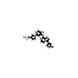 Cn1cc(-c2cnc3c(Nc4ccnc(N5CC[C@@H](N)C5)c4)nccn23)cn1